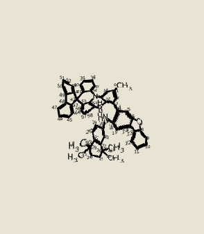 Cc1cc(-c2cc3oc4ccccc4c3cc2Nc2ccc3c(c2)C(C)(C)CCC3(C)C)c2c(c1)N1c3ccccc3C3(c4ccccc4-c4ccccc43)c3cccc(c31)B2